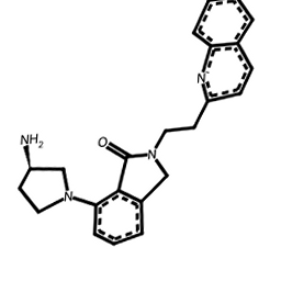 N[C@@H]1CCN(c2cccc3c2C(=O)N(CCc2ccc4ccccc4n2)C3)C1